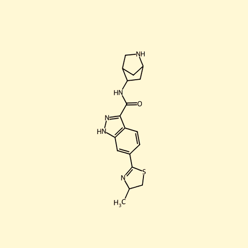 CC1CSC(c2ccc3c(C(=O)NC4CC5CC4CN5)n[nH]c3c2)=N1